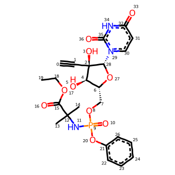 C#C[C@@]1(O)[C@H](O)[C@@H](COP(=O)(NC(C)(C)C(=O)OCC)Oc2ccccc2)O[C@H]1n1ccc(=O)[nH]c1=O